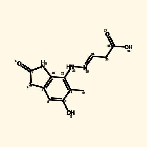 Cc1c(O)cc2sc(=O)[nH]c2c1NN=CCC(=O)O